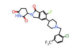 O=C1CCC(N2Cc3cc(C4CCN(Cc5cc(C(F)(F)F)ccc5Cl)CC4)c(F)cc3C2=O)C(=O)N1